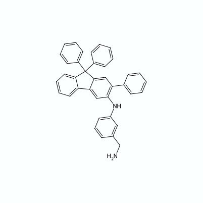 NCc1cccc(Nc2cc3c(cc2-c2ccccc2)C(c2ccccc2)(c2ccccc2)c2ccccc2-3)c1